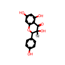 [2H]C1(O)C(=O)c2c(O)cc(O)cc2OC1c1ccc(O)cc1